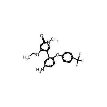 CCOc1cc(=O)n(C)cc1-c1cc(N)ccc1Oc1ccc(C(F)(F)F)cc1